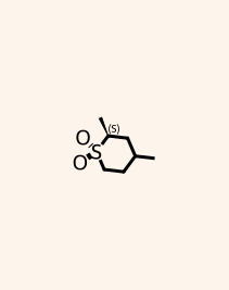 CC1CCS(=O)(=O)[C@@H](C)C1